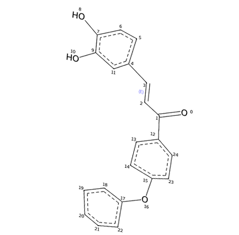 O=C(/C=C/c1ccc(O)c(O)c1)c1ccc(Oc2ccccc2)cc1